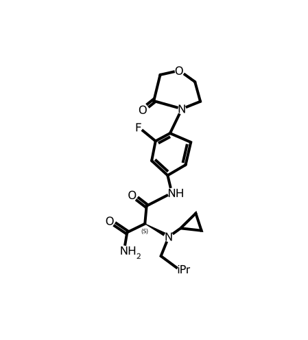 CC(C)CN(C1CC1)[C@@H](C(N)=O)C(=O)Nc1ccc(N2CCOCC2=O)c(F)c1